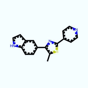 Cc1sc(-c2ccncc2)nc1-c1ccc2[nH]ccc2c1